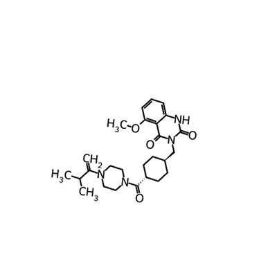 C=C(C(C)C)N1CCN(C(=O)[C@H]2CC[C@H](Cn3c(=O)[nH]c4cccc(OC)c4c3=O)CC2)CC1